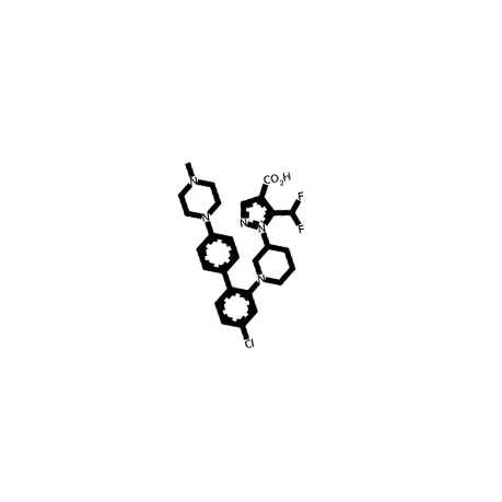 CN1CCN(c2ccc(-c3ccc(Cl)cc3N3CCCC(n4ncc(C(=O)O)c4C(F)F)C3)cc2)CC1